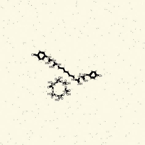 N=C(NCCCCCCNC(=N)NC(=N)Nc1ccc(Cl)cc1)NC(=N)Nc1ccc(Cl)cc1.O=P1(O)OP(=O)(O)OP(=O)(O)OP(=O)(O)OP(=O)(O)OP(=O)(O)O1